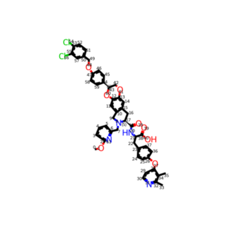 COc1cccc(CN2Cc3cc4c(cc3C[C@H]2C(=O)NC(Cc2ccc(Oc3ccnc(C)c3C)cc2)C(=O)O)OC[C@H](c2ccc(OCc3ccc(Cl)c(Cl)c3)cc2)O4)n1